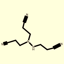 N#CCCNN(CCC#N)CCC#N